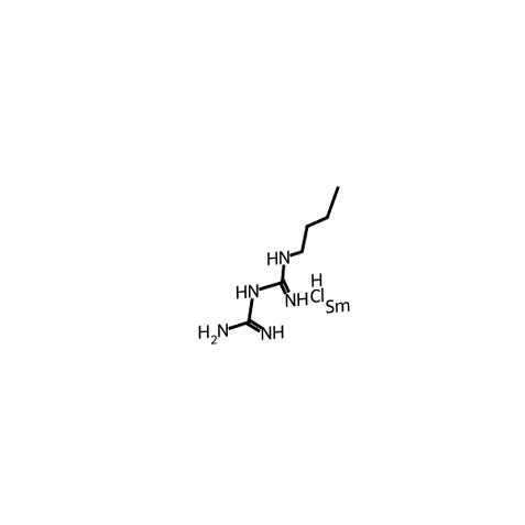 CCCCNC(=N)NC(=N)N.Cl.[Sm]